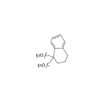 CCOC(=O)C1(C(=O)OCC)CCCc2ccccc21